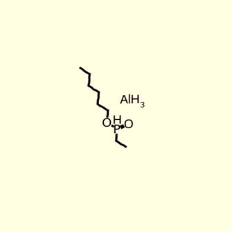 CCCCCCO[PH](=O)CC.[AlH3]